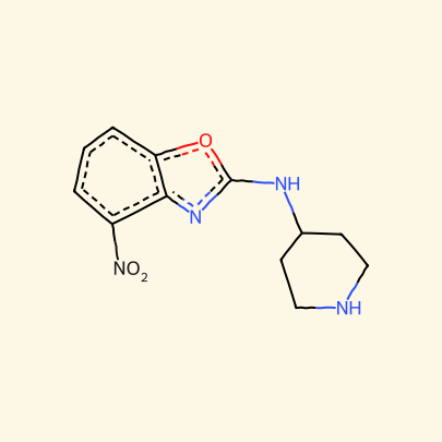 O=[N+]([O-])c1cccc2oc(NC3CCNCC3)nc12